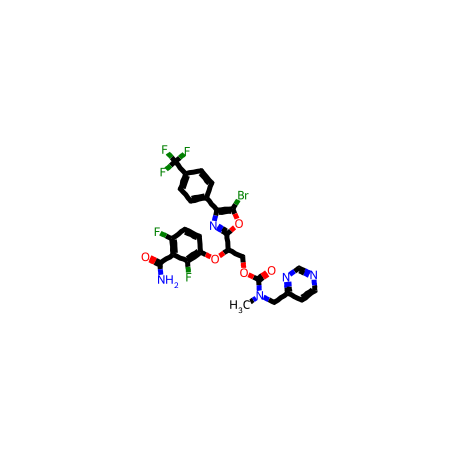 CN(Cc1ccncn1)C(=O)OCC(Oc1ccc(F)c(C(N)=O)c1F)c1nc(-c2ccc(C(F)(F)F)cc2)c(Br)o1